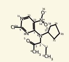 CC[C@H](C(C)=O)N(c1nc(Cl)ncc1[N+](=O)[O-])C1CCCC1